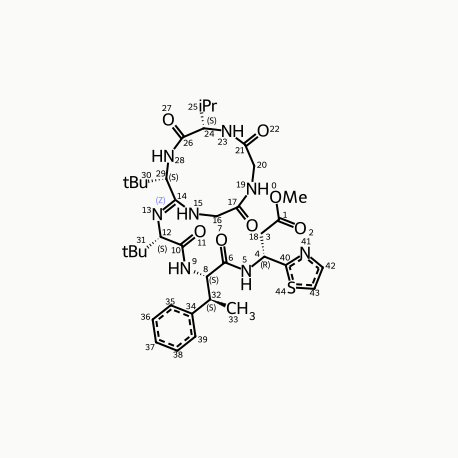 COC(=O)C[C@@H](NC(=O)[C@@H](NC(=O)[C@@H](/N=C1\NCC(=O)NCC(=O)N[C@@H](C(C)C)C(=O)N[C@H]1C(C)(C)C)C(C)(C)C)[C@@H](C)c1ccccc1)c1nccs1